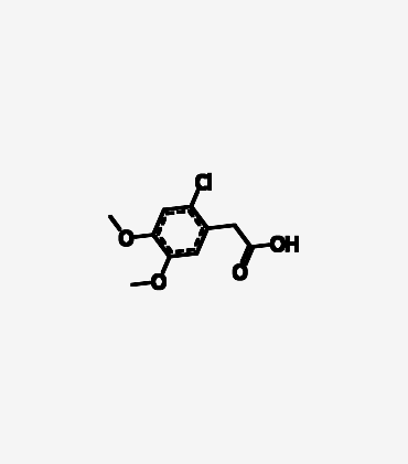 COc1cc(Cl)c(CC(=O)O)cc1OC